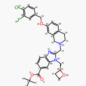 CC(C)(C)OC(=O)c1ccc2nc(CN3CCc4ccc(OCc5ccc(Cl)c(F)c5)cc4C3)n(C[C@@H]3CCO3)c2c1